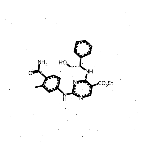 CCOC(=O)c1cnc(Nc2ccc(C(N)=O)c(C)c2)nc1N[C@H](CO)c1ccccc1